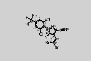 N#Cc1nn(-c2c(Cl)cc(C(F)(F)F)cc2Cl)c(N)c1C=C(Br)Br